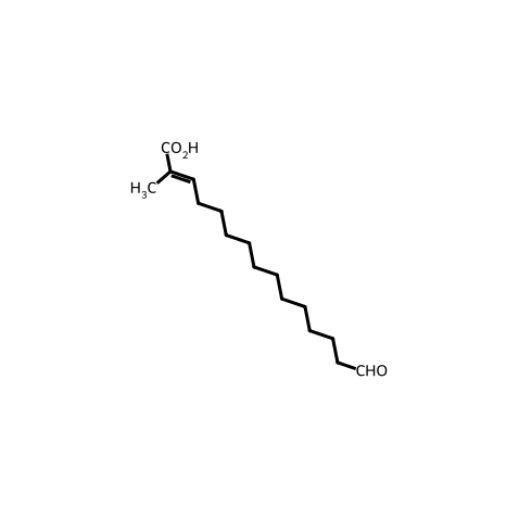 CC(=CCCCCCCCCCCCC=O)C(=O)O